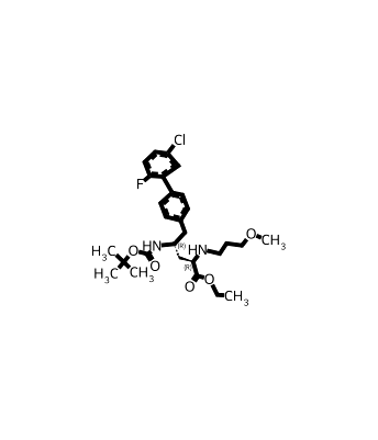 CCOC(=O)[C@@H](C[C@@H](Cc1ccc(-c2cc(Cl)ccc2F)cc1)NC(=O)OC(C)(C)C)NCCCOC